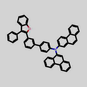 c1ccc(-c2c(-c3cccc(-c4ccc(N(c5ccc6c(ccc7ccccc76)c5)c5cc6ccccc6c6ccccc56)cc4)c3)oc3ccccc23)cc1